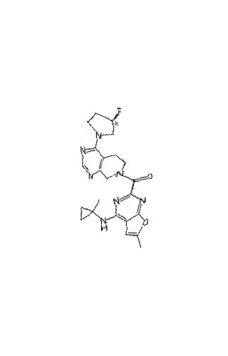 Cc1cc2c(NC3(C)CC3)nc(C(=O)N3CCc4c(ncnc4N4CC[C@@H](F)C4)C3)nc2o1